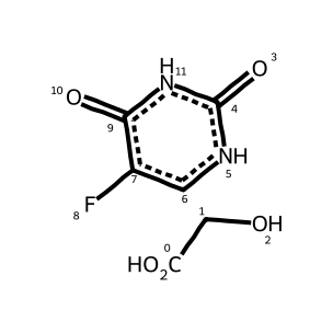 O=C(O)CO.O=c1[nH]cc(F)c(=O)[nH]1